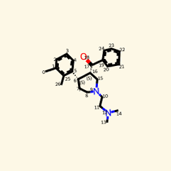 Cc1cccc([C@H]2[CH]CN(CCN(C)C)C[C@H]2C(=O)c2ccccc2)c1C